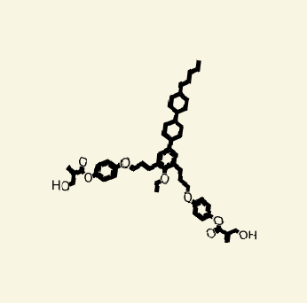 C=C(CO)C(=O)Oc1ccc(OCCCc2cc(C3CCC(C4CCC(CCCCC)CC4)CC3)cc(CCCOc3ccc(OC(=O)C(=C)CO)cc3)c2OCC)cc1